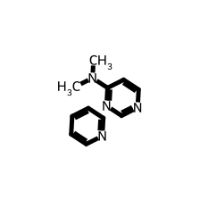 CN(C)c1ccncn1.c1ccncc1